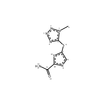 Cn1nnnc1Sc1cnc(C(N)=O)s1